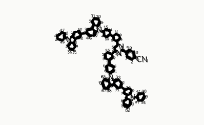 N#Cc1ccc(-c2nc(-c3cccc(-c4ccc(-n5c6ccccc6c6cc(-c7ccc8c(c7)c7ccccc7n8-c7ccccc7)ccc65)cc4)c3)cc(-c3cccc(-c4ccc(-n5c6ccccc6c6cc(-c7ccc8c(c7)c7ccccc7n8-c7ccccc7)ccc65)cc4)c3)n2)cc1